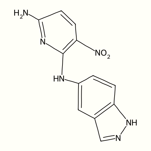 Nc1ccc([N+](=O)[O-])c(Nc2ccc3[nH]ncc3c2)n1